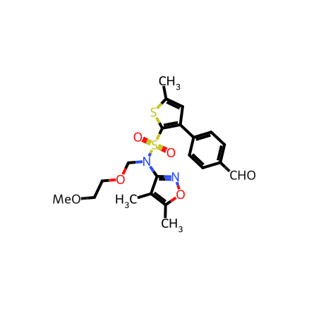 COCCOCN(c1noc(C)c1C)S(=O)(=O)c1sc(C)cc1-c1ccc(C=O)cc1